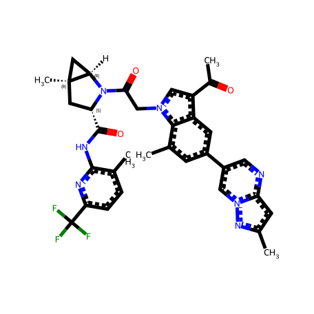 CC(=O)c1cn(CC(=O)N2[C@H](C(=O)Nc3nc(C(F)(F)F)ccc3C)C[C@@]3(C)C[C@@H]23)c2c(C)cc(-c3cnc4cc(C)nn4c3)cc12